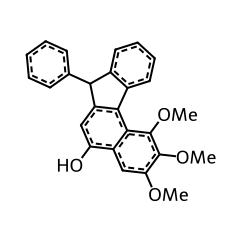 COc1cc2c(O)cc3c(c2c(OC)c1OC)-c1ccccc1C3c1ccccc1